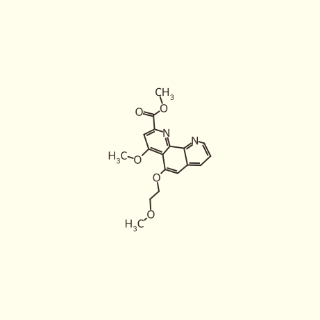 COCCOc1cc2cccnc2c2nc(C(=O)OC)cc(OC)c12